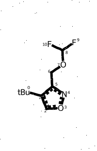 CC(C)(C)c1conc1COC(F)F